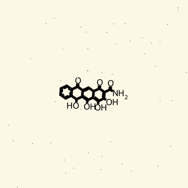 NC(=O)C1=C(O)C(O)=C2C(O)=C3C(=CC2C1=O)C(=O)c1ccccc1C3O